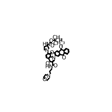 CC(C)(C)OC(=O)NC1CCN(c2ccc3c(=O)c(C(=O)NCCCN4CCOCC4)cn4c5cc6c(=O)c7ccccc7c(=O)c6cc5oc2c34)C1